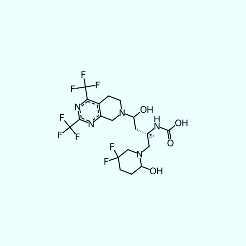 O=C(O)N[C@@H](CC(O)N1CCc2c(nc(C(F)(F)F)nc2C(F)(F)F)C1)CN1CC(F)(F)CCC1O